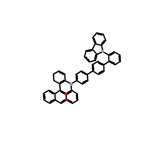 C1=CC(N(c2ccccc2)c2ccc(-c3ccc(-c4ccccc4-n4c5ccccc5c5ccccc54)cc3)cc2)=C(c2cccc3ccccc23)CC1